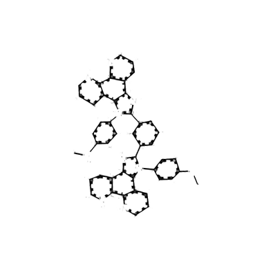 COc1ccc(-n2c(-c3cccc(-c4nc5c6cccnc6c6ncccc6c5n4-c4ccc(OC)cc4)c3)nc3c4cccnc4c4ncccc4c32)cc1